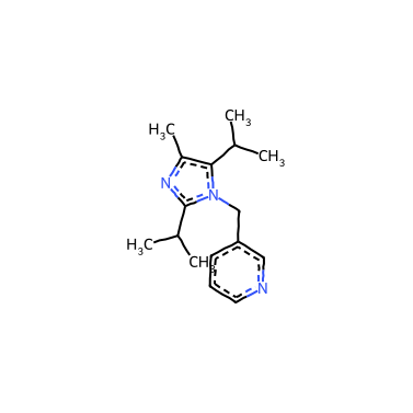 Cc1nc(C(C)C)n(Cc2cccnc2)c1C(C)C